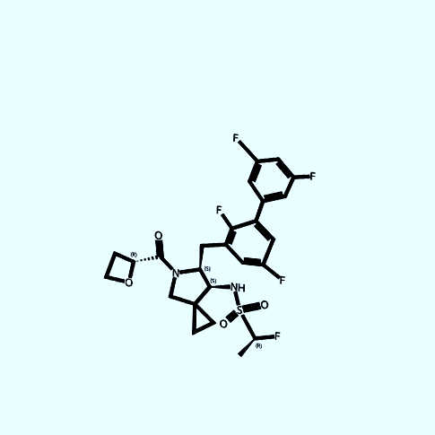 C[C@H](F)S(=O)(=O)N[C@@H]1[C@H](Cc2cc(F)cc(-c3cc(F)cc(F)c3)c2F)N(C(=O)[C@H]2CCO2)CC12CC2